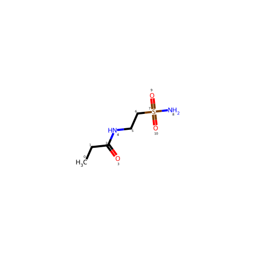 CCC(=O)NCCS(N)(=O)=O